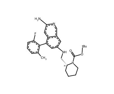 Cc1cccc(F)c1-c1cc(NC[C@H]2CCCCN2C(=O)OC(C)(C)C)cc2cnc(N)cc12